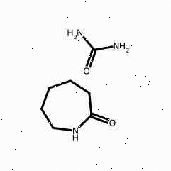 NC(N)=O.O=C1CCCCCN1